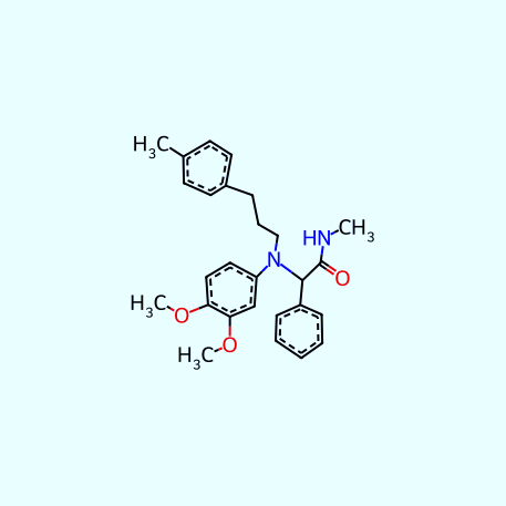 CNC(=O)C(c1ccccc1)N(CCCc1ccc(C)cc1)c1ccc(OC)c(OC)c1